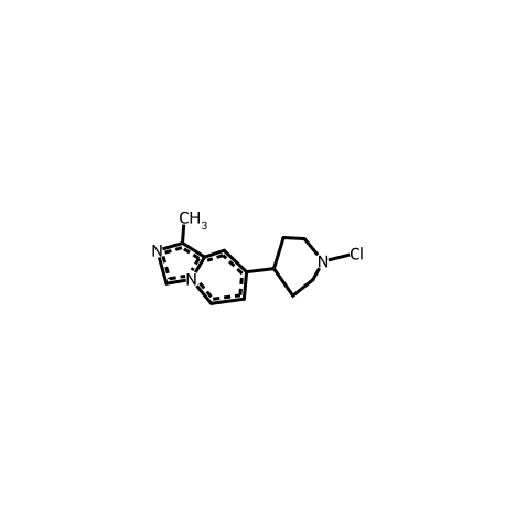 Cc1ncn2ccc(C3CCN(Cl)CC3)cc12